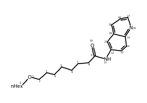 CCCCCCOCCCCCCCC(=O)Nc1ccc2ncccc2c1